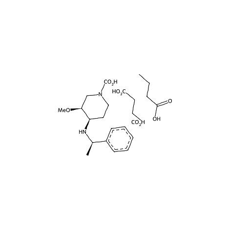 CCCC(=O)O.CO[C@H]1CN(C(=O)O)CC[C@H]1N[C@H](C)c1ccccc1.O=C(O)CCC(=O)O